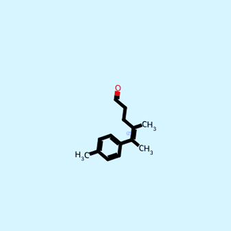 C/C(CCC=O)=C(\C)c1ccc(C)cc1